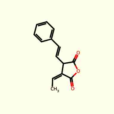 CC=C1C(=O)OC(=O)C1C=Cc1ccccc1